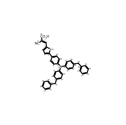 N#C/C(=C\c1ccc(-c2ccc(N(c3ccc(Cc4ccccc4)cc3)c3ccc(Cc4ccccc4)cc3)cc2)s1)C(=O)O